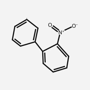 O=[N+]([O-])c1ccccc1-c1c[c]ccc1